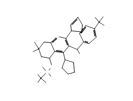 CC1(C)Cc2nc(C3C=CCC3)c(C(O)c3ccc(C(F)(F)F)cc3)c(C3CCCC3)c2C(O[Si](C)(C)C(C)(C)C)C1